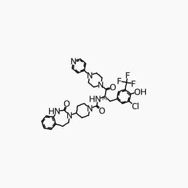 O=C(N[C@H](Cc1cc(Cl)c(O)c(C(F)(F)F)c1)C(=O)N1CCN(c2ccncc2)CC1)N1CCC(N2CCc3ccccc3NC2=O)CC1